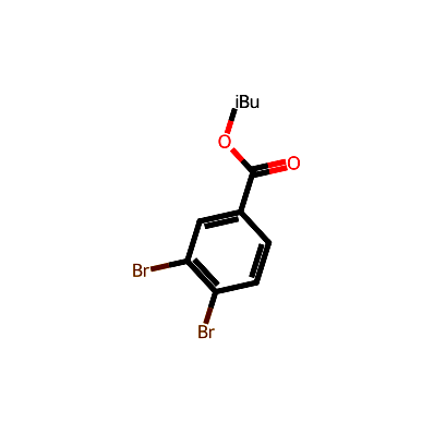 CCC(C)OC(=O)c1ccc(Br)c(Br)c1